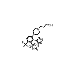 CC(F)(F)c1ccc(N2CCN(CCCO)CC2)c(-c2nnn[nH]2)c1S(N)(=O)=O